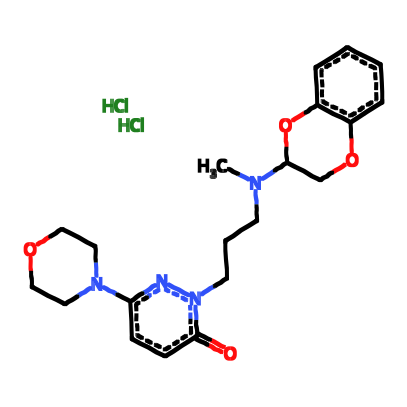 CN(CCCn1nc(N2CCOCC2)ccc1=O)C1COc2ccccc2O1.Cl.Cl